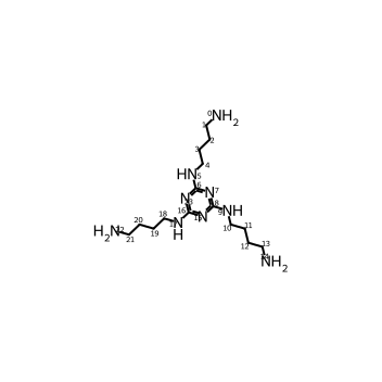 NCCCCNc1nc(NCCCCN)nc(NCCCCN)n1